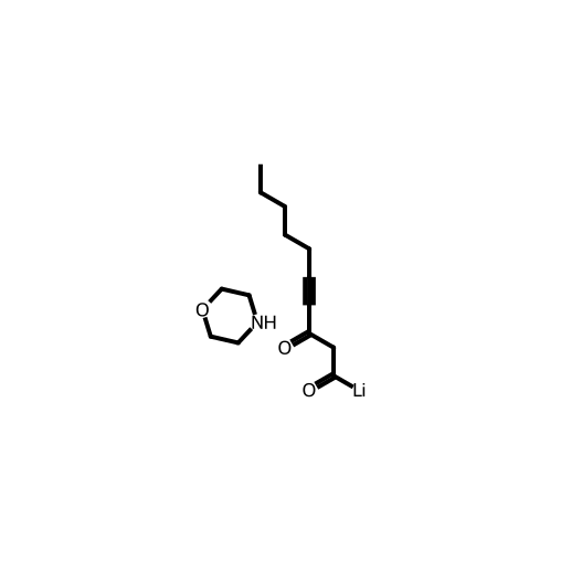 C1COCCN1.[Li][C](=O)CC(=O)C#CCCCCC